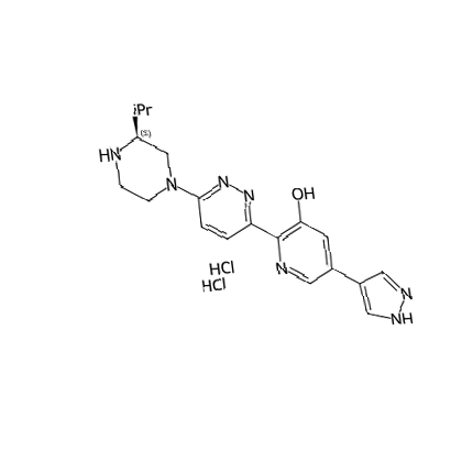 CC(C)[C@H]1CN(c2ccc(-c3ncc(-c4cn[nH]c4)cc3O)nn2)CCN1.Cl.Cl